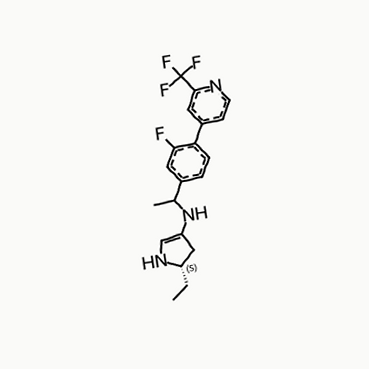 CC[C@H]1CC(NC(C)c2ccc(-c3ccnc(C(F)(F)F)c3)c(F)c2)=CN1